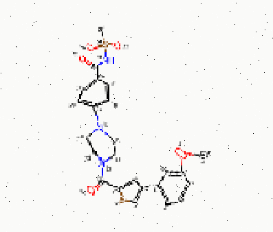 CCOc1cccc(-c2csc(C(=O)N3CCN(c4ccc(C(=O)NS(C)(=O)=O)cc4)CC3)c2)c1